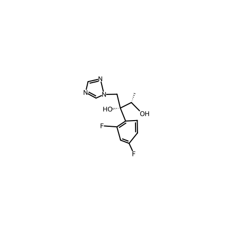 C[C@H](O)[C@](O)(Cn1cncn1)c1ccc(F)cc1F